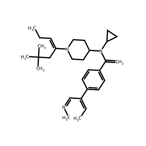 C=C(c1ccc(C(/C=N\C)=C/C)cc1)N(C1CC1)C1CCN(/C(=C/CC)CC(C)(C)C)CC1